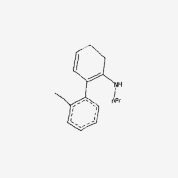 CCCNC1=C(c2ccccc2C)C=CCC1